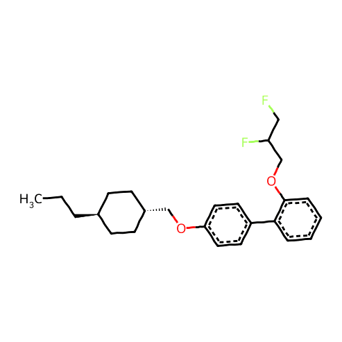 CCC[C@H]1CC[C@H](COc2ccc(-c3ccccc3OCC(F)CF)cc2)CC1